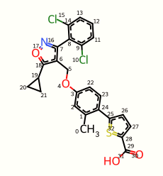 Cc1cc(OCc2c(-c3c(Cl)cccc3Cl)noc2C2CC2)ccc1-c1ccc(C(=O)O)s1